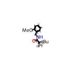 COc1ccccc1CNC(=O)C(C(C)C)C(C)(C)C